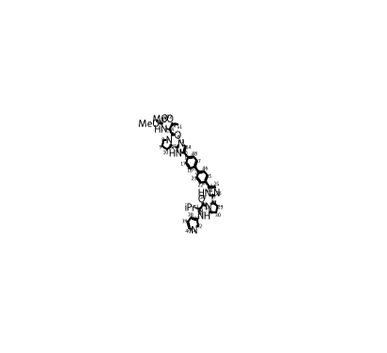 COC(=O)N[C@H](C(=O)N1CCC[C@H]1c1ncc(-c2ccc(-c3ccc(-c4cnc([C@@H]5CCCN5C(=O)[C@@H](Nc5cccnc5)C(C)C)[nH]4)cc3)cc2)[nH]1)[C@@H](C)OC